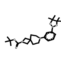 CC(C)(C)OC(=O)N1CC2(CCN(c3cccc(B4OC(C)(C)C(C)(C)O4)c3)CC2)C1